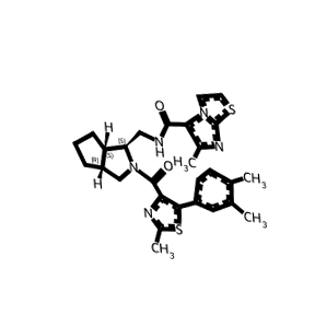 Cc1nc(C(=O)N2C[C@@H]3CCC[C@@H]3[C@H]2CNC(=O)c2c(C)nc3sccn23)c(-c2ccc(C)c(C)c2)s1